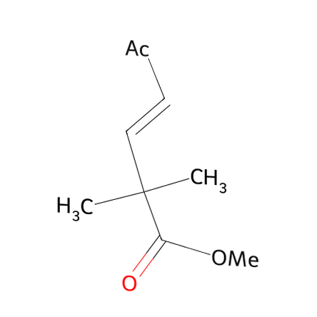 COC(=O)C(C)(C)C=CC(C)=O